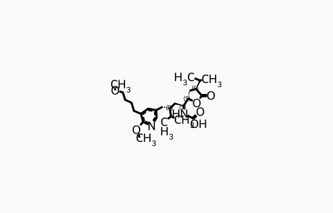 COCCCCc1cc(C[C@H](C[C@H](NC(=O)O)[C@@H]2C[C@@H](C(C)C)C(=O)O2)C(C)C)cnc1OC